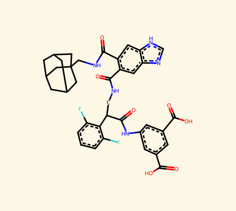 O=C(O)c1cc(NC(=O)C(CNC(=O)c2cc3nc[nH]c3cc2C(=O)NCC23CC4CC(CC(C4)C2)C3)c2c(F)cccc2F)cc(C(=O)O)c1